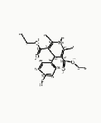 CCOC(=O)C1=C(C)N(C)C(C)=C(C(=O)OCC)C1c1ccc(F)cc1